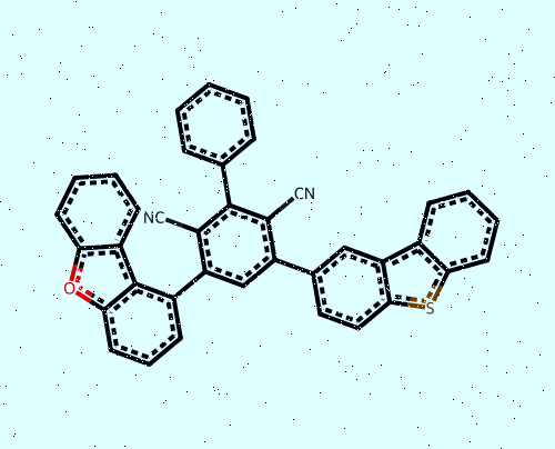 N#Cc1c(-c2ccc3sc4ccccc4c3c2)cc(-c2cccc3oc4ccccc4c23)c(C#N)c1-c1ccccc1